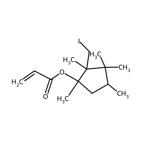 C=CC(=O)OC1(C)CC(C)C(C)(C)C1(C)CI